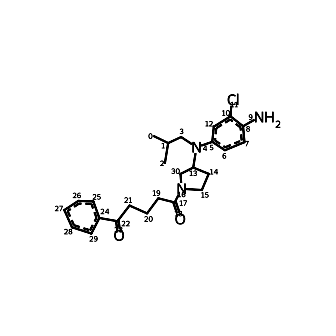 CC(C)CN(c1ccc(N)c(Cl)c1)C1CCN(C(=O)CCCC(=O)c2ccccc2)C1